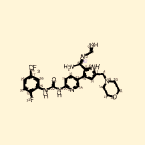 N=C/N=C(/N)c1[nH]c(CN2CCOCC2)cc1-c1ccc(NC(=O)Nc2cc(C(F)(F)F)ccc2F)nc1